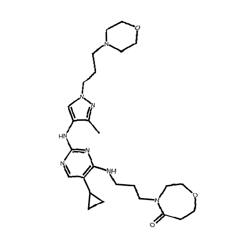 Cc1nn(CCCN2CCOCC2)cc1Nc1ncc(C2CC2)c(NCCCN2CCOCCC2=O)n1